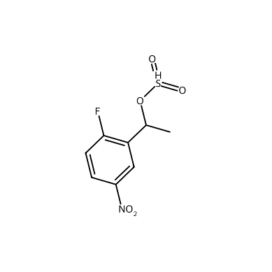 CC(O[SH](=O)=O)c1cc([N+](=O)[O-])ccc1F